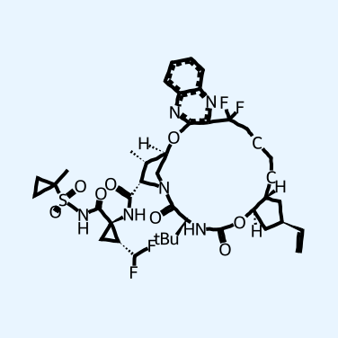 C=C[C@@H]1C[C@H]2CCCCC(F)(F)c3nc4ccccc4nc3O[C@H]3CN(C(=O)[C@H](C(C)(C)C)NC(=O)O[C@@H]2C1)[C@H](C(=O)N[C@]1(C(=O)NS(=O)(=O)C2(C)CC2)C[C@H]1C(F)F)[C@@H]3C